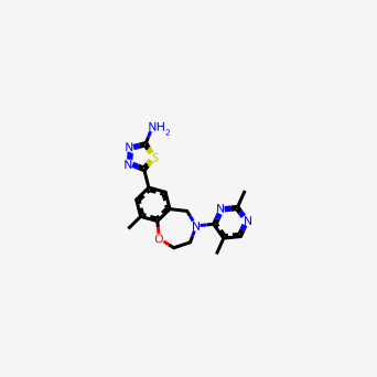 Cc1ncc(C)c(N2CCOc3c(C)cc(-c4nnc(N)s4)cc3C2)n1